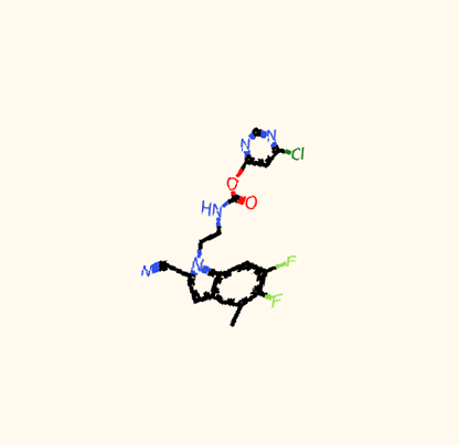 Cc1c(F)c(F)cc2c1cc(C#N)n2CCNC(=O)Oc1cc(Cl)ncn1